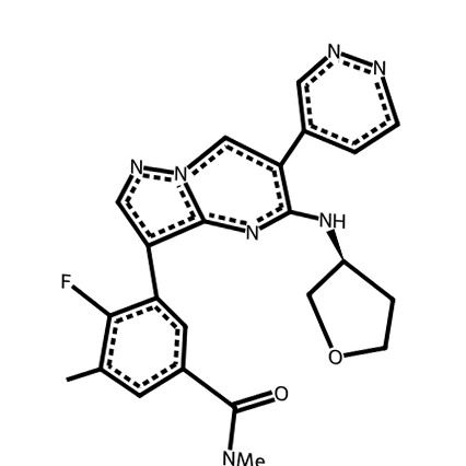 CNC(=O)c1cc(C)c(F)c(-c2cnn3cc(-c4ccnnc4)c(N[C@H]4CCOC4)nc23)c1